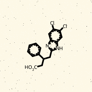 O=C(O)CC(Cc1nc2cc(Cl)c(Cl)cc2[nH]1)c1ccccc1